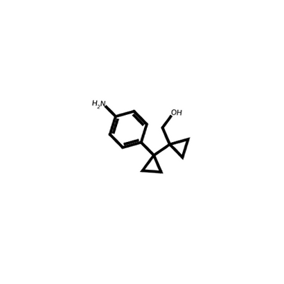 Nc1ccc(C2(C3(CO)CC3)CC2)cc1